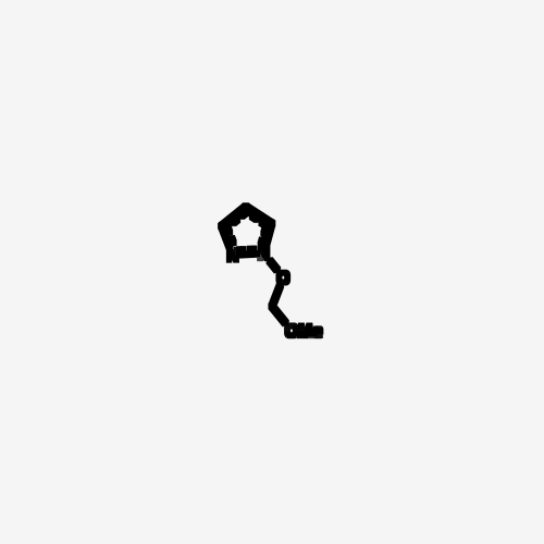 COCOn1cccn1